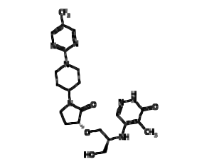 Cc1c(N[C@@H](CO)CO[C@@H]2CCN(C3CCN(c4ncc(C(F)(F)F)cn4)CC3)C2=O)cn[nH]c1=O